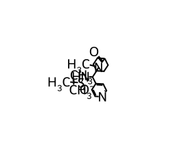 CN1C(=O)C2CCC1(C(N[S+]([O-])C(C)(C)C)c1ccncc1)CC2